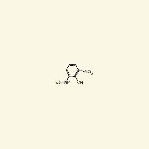 CCNc1cccc([N+](=O)[O-])c1C#N